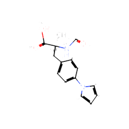 C[C@@](Cc1ccc(-n2cccc2)cc1)(NC=O)C(=O)O